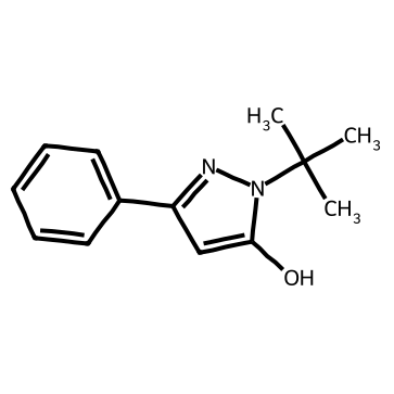 CC(C)(C)n1nc(-c2ccccc2)cc1O